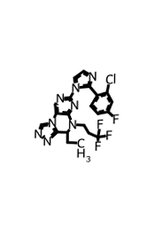 CCC1c2nncn2-c2cnc(-n3ccnc3-c3ccc(F)cc3Cl)nc2N1CCC(F)(F)F